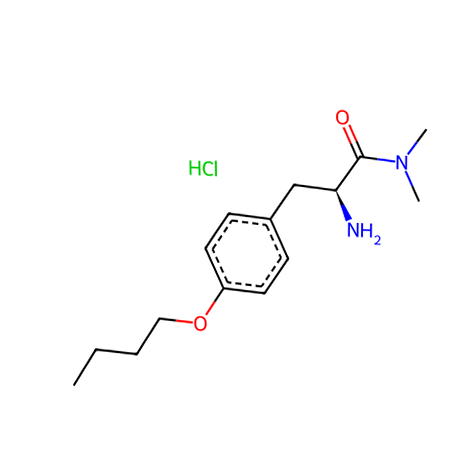 CCCCOc1ccc(C[C@H](N)C(=O)N(C)C)cc1.Cl